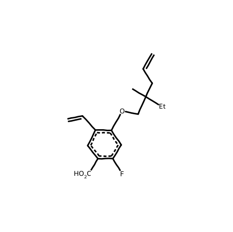 C=CCC(C)(CC)COc1cc(F)c(C(=O)O)cc1C=C